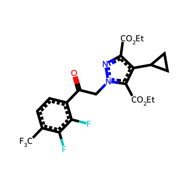 CCOC(=O)c1nn(CC(=O)c2ccc(C(F)(F)F)c(F)c2F)c(C(=O)OCC)c1C1CC1